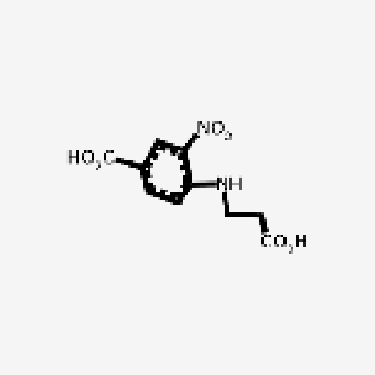 O=C(O)CCNc1ccc(C(=O)O)cc1[N+](=O)[O-]